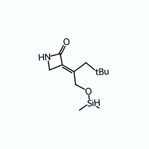 C[SiH](C)OCC(CC(C)(C)C)=C1CNC1=O